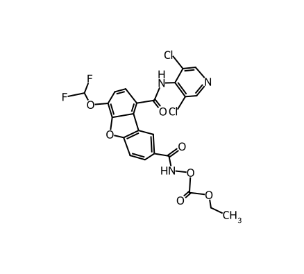 CCOC(=O)ONC(=O)c1ccc2oc3c(OC(F)F)ccc(C(=O)Nc4c(Cl)cncc4Cl)c3c2c1